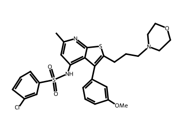 COc1cccc(-c2c(CCCN3CCOCC3)sc3nc(C)cc(NS(=O)(=O)c4cccc(Cl)c4)c23)c1